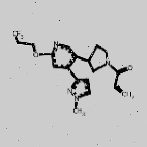 C=CC(=O)N1CCC(c2cnc(OCCC(F)(F)F)cc2-c2ccn(C)n2)C1